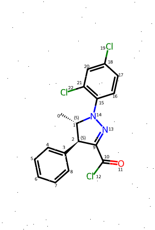 C[C@H]1[C@H](c2ccccc2)C(C(=O)Cl)=NN1c1ccc(Cl)cc1Cl